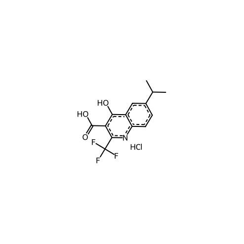 CC(C)c1ccc2nc(C(F)(F)F)c(C(=O)O)c(O)c2c1.Cl